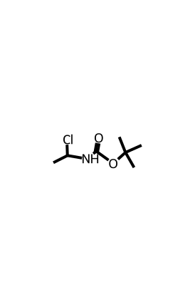 CC(Cl)NC(=O)OC(C)(C)C